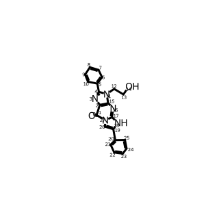 O=c1c2nc(-c3ccccc3)n(CCO)c2nc2[nH]c(-c3ccccc3)cn12